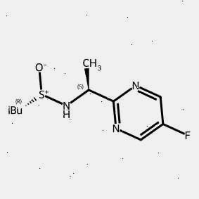 CC[C@@H](C)[S+]([O-])N[C@@H](C)c1ncc(F)cn1